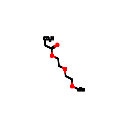 CCCCOCCOCCOC(=O)CC(=O)O